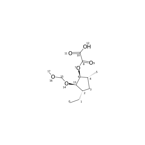 CC[C@H]1C[C@@H](C)[C@H](OC(=O)C(=O)O)[C@@H]1OCOC